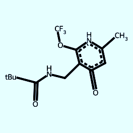 Cc1cc(=O)c(CNC(=O)C(C)(C)C)c(OC(F)(F)F)[nH]1